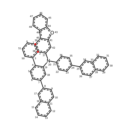 c1ccc(-c2ccc(-c3ccc4ccccc4c3)cc2N(c2ccc(-c3ccc4ccccc4c3)cc2)c2ccc3c(c2)oc2ccccc23)cc1